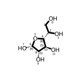 OCC(O)[C@H]1O[C@@H](O)[C@@H](O)[C@@H]1O